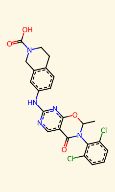 CC1Oc2nc(Nc3ccc4c(c3)CN(C(=O)O)CC4)ncc2C(=O)N1c1c(Cl)cccc1Cl